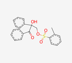 Cc1ccccc1S(=O)(=O)OCC(O)(C(=O)c1ccccc1)c1ccccc1